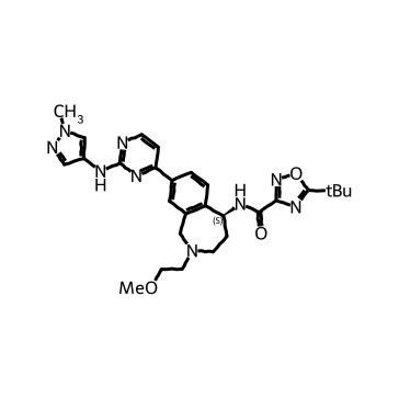 COCCN1CC[C@H](NC(=O)c2noc(C(C)(C)C)n2)c2ccc(-c3ccnc(Nc4cnn(C)c4)n3)cc2C1